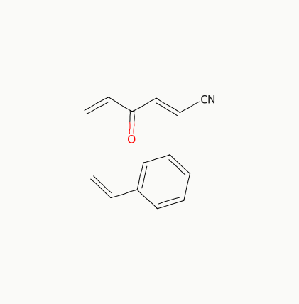 C=CC(=O)C=CC#N.C=Cc1ccccc1